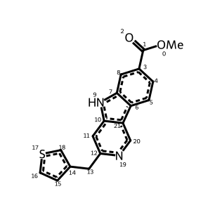 COC(=O)c1ccc2c(c1)[nH]c1cc(Cc3ccsc3)ncc12